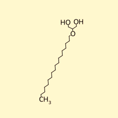 CCCCCCCCCCCCCCCCCCOC(CO)CO